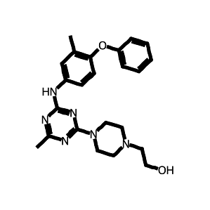 Cc1nc(Nc2ccc(Oc3ccccc3)c(C)c2)nc(N2CCN(CCO)CC2)n1